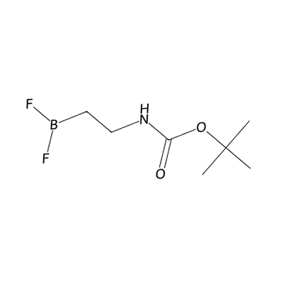 CC(C)(C)OC(=O)NCCB(F)F